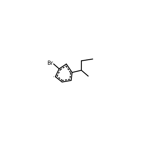 CCC(C)c1cc[c]c(Br)c1